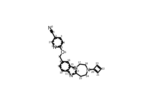 N#Cc1ccc(OCc2ccc3nc4n(c3c2)CCN(C2=CC=C2)CC4)nc1